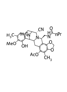 CCCC(=O)NC[C@H]1c2c(c(OC(C)=O)c(C)c3c2OCO3)CC2C3c4c(cc(C)c(OC)c4O)CC([C@H](C#N)N21)N3C